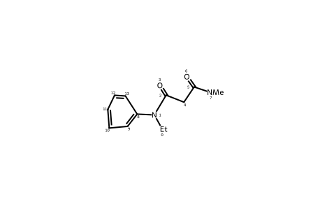 CCN(C(=O)CC(=O)NC)c1ccccc1